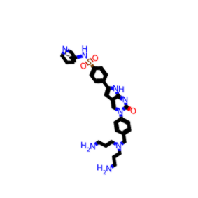 NCCCN(CCCN)Cc1ccc(-n2cc3cc(-c4ccc(S(=O)(=O)NC5CN6CCC5CC6)cc4)[nH]c3nc2=O)cc1